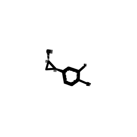 O[C@H]1C[C@@H]1c1ccc(Br)c(F)c1